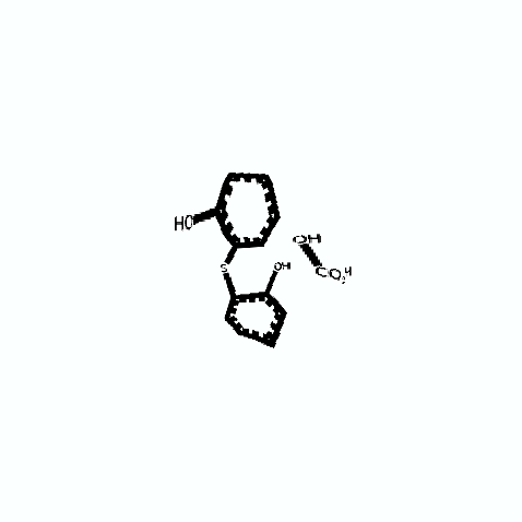 O=C(O)O.Oc1ccccc1Sc1ccccc1O